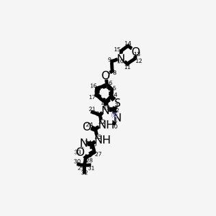 C/N=c1/sc2cc(OCCN3CCOCC3)ccc2n1C(C)NC(=O)Nc1cc(C(C)(C)C)on1